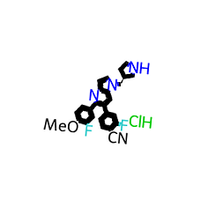 COc1ccc(-c2nc3ccn(C[C@@H]4CCNC4)c3cc2-c2ccc(C#N)c(F)c2)cc1F.Cl